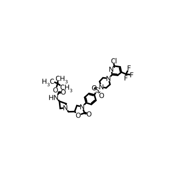 CC(C)(C)OC(=O)NC1CN(CC2CN(c3ccc(S(=O)(=O)N4CCN(c5cc(C(F)(F)F)cc(Cl)n5)CC4)cc3)C(=O)O2)C1